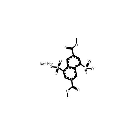 COC(=O)c1cc(S(=O)(=O)[O-])c2cc(C(=O)OC)cc(S(=O)(=O)[O-])c2c1.[Na+].[Na+]